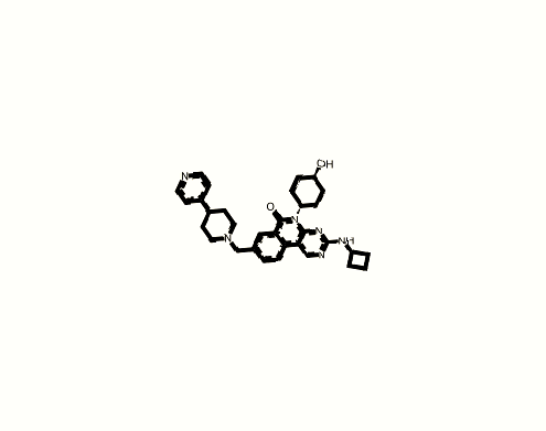 O=c1c2cc(CN3CCC(c4ccncc4)CC3)ccc2c2cnc(NC3CCC3)nc2n1[C@H]1CC[C@H](O)CC1